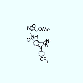 COCc1ocnc1CNC(=O)c1ccc2c(c1)c1cn(C)nc1n2-c1ccc(C(F)(F)F)cc1